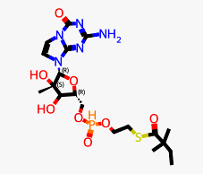 CCC(C)(C)C(=O)SCCO[PH](=O)OC[C@H]1O[C@@H](n2ccn3c(=O)nc(N)nc23)[C@@](C)(O)C1O